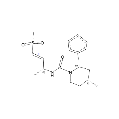 C[C@@H]1CCN(C(=O)N[C@H](C)/C=C/S(C)(=O)=O)[C@H](c2ccccc2)C1